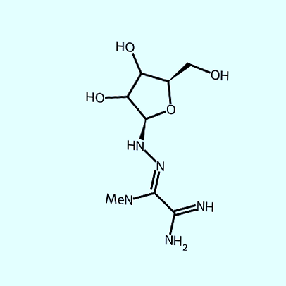 CN/C(=N\N[C@@H]1O[C@H](CO)C(O)C1O)C(=N)N